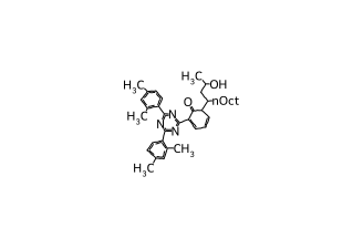 CCCCCCCCC(CC(C)O)C1C=CC=C(c2nc(-c3ccc(C)cc3C)nc(-c3ccc(C)cc3C)n2)C1=O